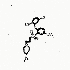 CN(C)C1CCN(C=CCS(=O)(=O)c2cc(C#N)ccc2Sc2cc(Cl)ccc2Cl)CC1